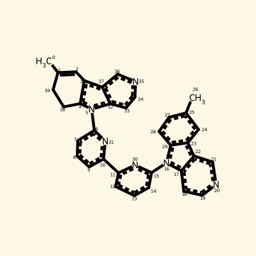 CC1=Cc2c(n(-c3cccc(-c4cccc(-n5c6ccncc6c6cc(C)ccc65)n4)n3)c3ccncc23)CC1